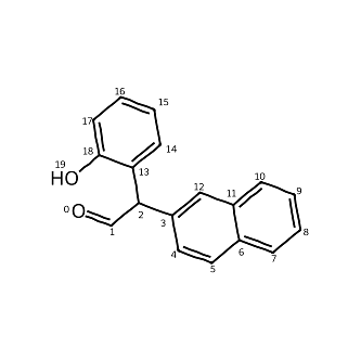 O=CC(c1ccc2ccccc2c1)c1ccccc1O